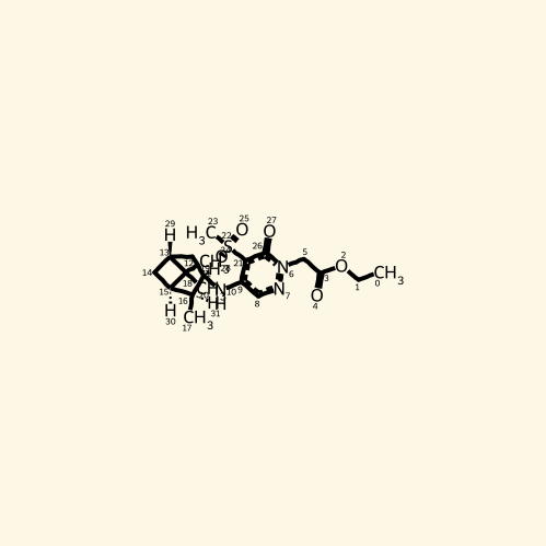 CCOC(=O)Cn1ncc(N[C@@H]2C[C@H]3C[C@H]([C@@H]2C)C3(C)C)c(S(C)(=O)=O)c1=O